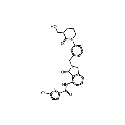 O=C(Nc1cccc2c1C(=O)N(Cc1cccc(N3CCCC(CO)C3=O)c1)C2)c1ccc(Cl)s1